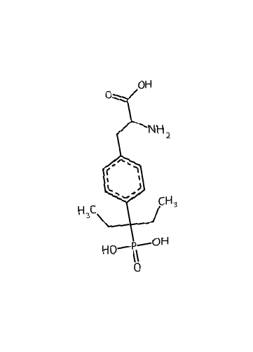 CCC(CC)(c1ccc(CC(N)C(=O)O)cc1)P(=O)(O)O